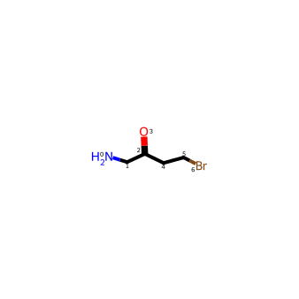 NCC(=O)CCBr